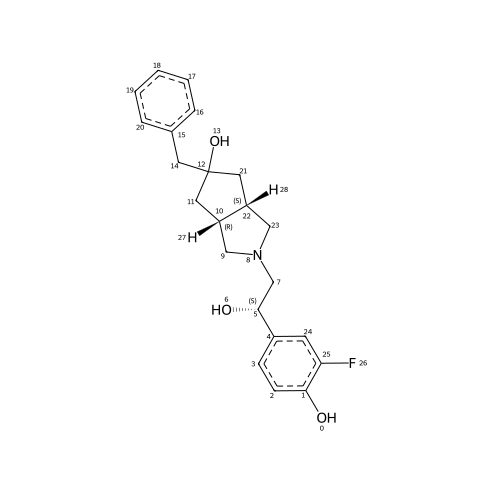 Oc1ccc([C@H](O)CN2C[C@@H]3CC(O)(Cc4ccccc4)C[C@@H]3C2)cc1F